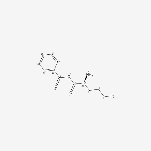 CCCC[C@H](N)C(=O)OC(=O)c1ccccc1